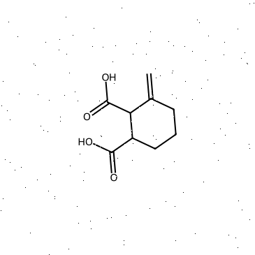 C=C1CCCC(C(=O)O)C1C(=O)O